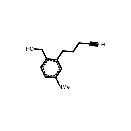 C#CCCCc1cc(NC)ccc1CO